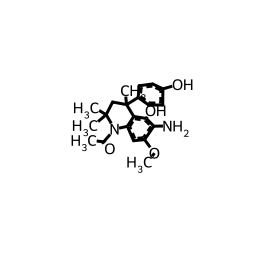 COc1cc2c(c(O)c1N)C(C)(c1ccc(O)cc1)CC(C)(C)N2C(C)=O